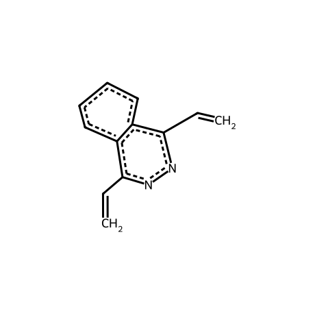 C=Cc1nnc(C=C)c2ccccc12